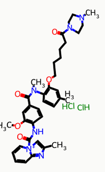 COc1cc(C(=O)N(C)c2ccc(C)cc2OCCCCCC(=O)N2CCN(C)CC2)ccc1NC(=O)[N+]12C=CC=CC1=NC(C)=C2.Cl.Cl